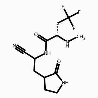 CN[C@@H](CC(F)(F)F)C(=O)NC(C#N)CC1CCNC1=O